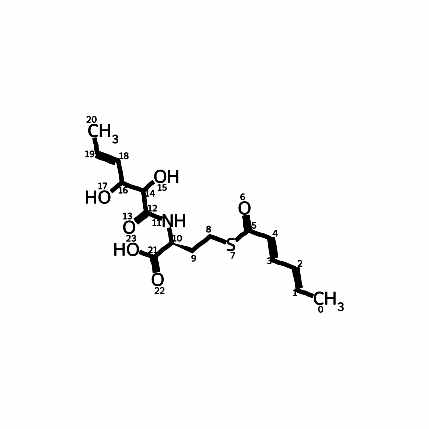 C/C=C/C=C/C(=O)SCC[C@H](NC(=O)C(O)C(O)/C=C/C)C(=O)O